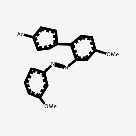 COc1cccc(N=Nc2cc(OC)ccc2-c2ccc(C(C)=O)cc2)c1